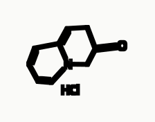 Cl.O=C1CC=C2C=CC=CN2C1